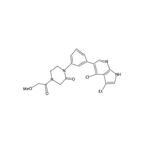 CCc1c[nH]c2ncc(-c3cccc(N4CCN(C(=O)COC)CC4=O)c3)c(Cl)c12